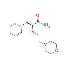 NC(=O)[C@H](Cc1ccccc1)NCCN1CCOCC1